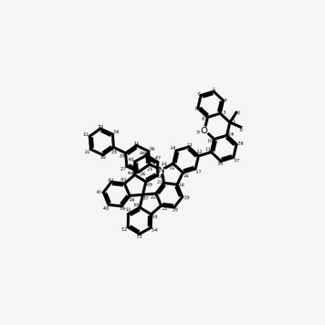 CC1(C)c2ccccc2Oc2c(-c3ccc4c(c3)c3ccc5c(c3n4-c3ccc(-c4ccccc4)cc3)C3(c4ccccc4-c4ccccc43)c3ccccc3-5)cccc21